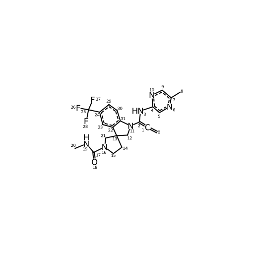 C=C=C(Nc1cnc(C)cn1)N1CC2(CCN(C(=O)NC)C2)c2cc(C(F)(F)F)ccc21